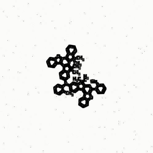 Cc1ccccc1N(c1ccc2c(c1)C(C)(C)c1cc(-c3ccccc3C(C)(C)C)c3oc4ccccc4c3c1-2)c1ccc2c(c1)C(C)(C)c1c3c(c4oc5ccccc5c4c1-2)-c1ccccc1C3(C)C